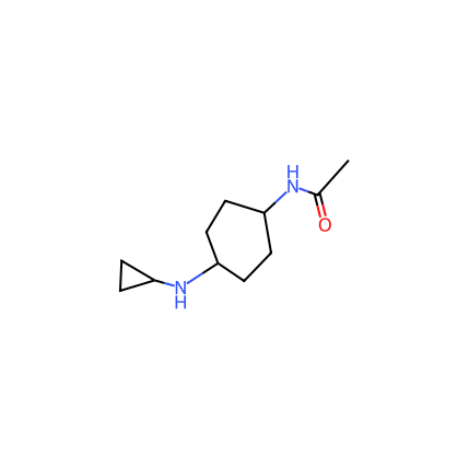 CC(=O)NC1CCC(NC2CC2)CC1